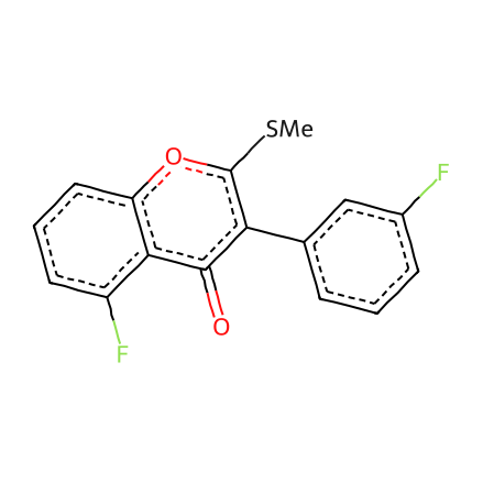 CSc1oc2cccc(F)c2c(=O)c1-c1cccc(F)c1